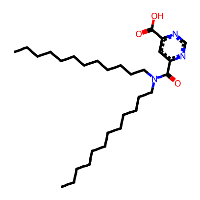 CCCCCCCCCCCCN(CCCCCCCCCCCC)C(=O)c1cc(C(=O)O)ncn1